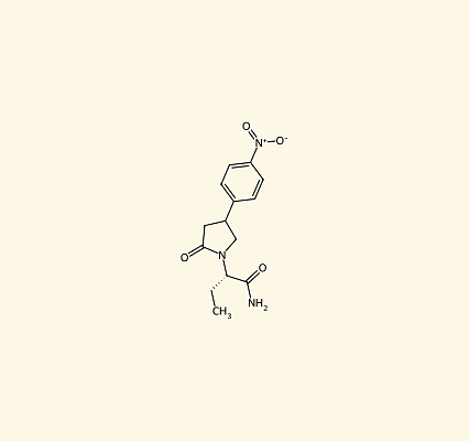 CC[C@@H](C(N)=O)N1CC(c2ccc([N+](=O)[O-])cc2)CC1=O